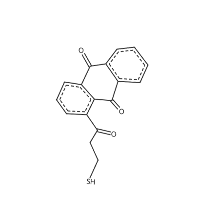 O=C(CCS)c1cccc2c1C(=O)c1ccccc1C2=O